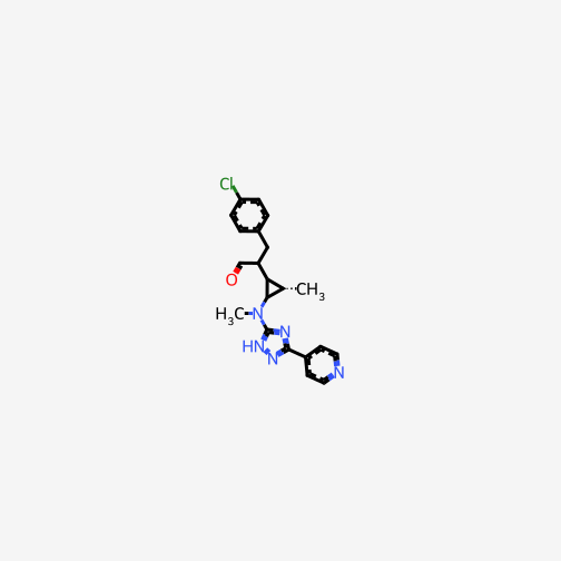 C[C@H]1C(C(C=O)Cc2ccc(Cl)cc2)C1N(C)c1nc(-c2ccncc2)n[nH]1